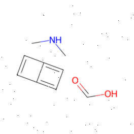 CNC.O=CO.c1cc2ccc1-2